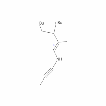 CC#CN/C=C(\C)C(CCCC)CC(C)CC